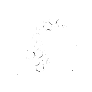 CCOC1=CC(F)(CN2CCC(Nc3cnc(C(=O)OC)cn3)CC2)CC(OCC)=C1c1ccccc1